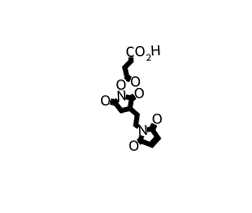 O=C(O)CCC(=O)ON1C(=O)CC(CCN2C(=O)C=CC2=O)C1=O